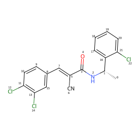 C[C@H](NC(=O)/C(C#N)=C/c1ccc(Cl)c(Cl)c1)c1ccccc1Cl